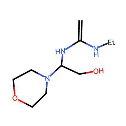 C=C(NCC)NC(CO)N1CCOCC1